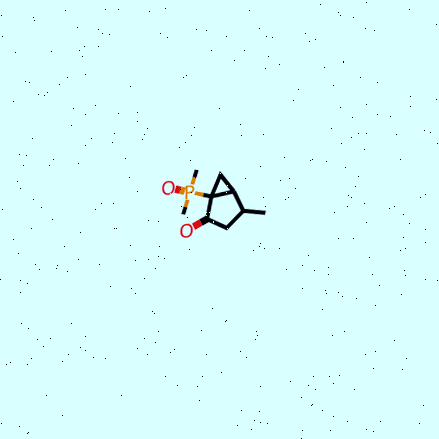 CC1CC(=O)C2(P(C)(C)=O)CC12